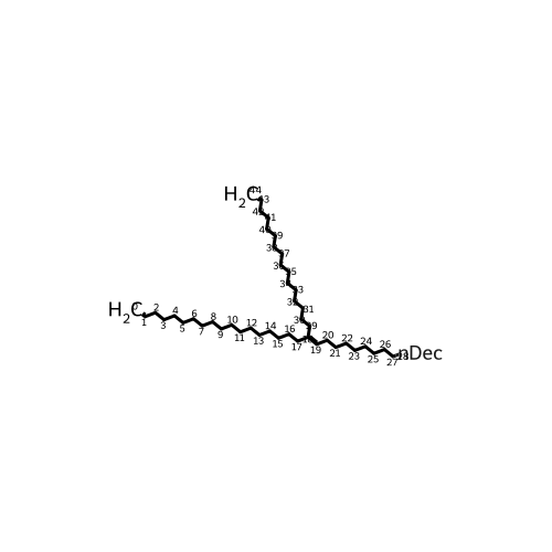 C=CCCCCCCCCCCCCCCCCC(=CCCCCCCCCCCCCCCCCCC)CCCCCCCCCCCCCCC=C